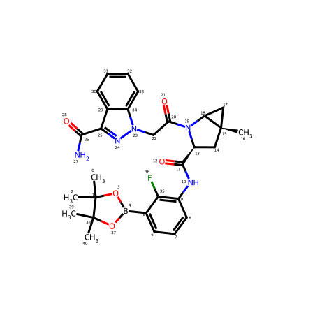 CC1(C)OB(c2cccc(NC(=O)[C@@H]3C[C@@]4(C)CC4N3C(=O)Cn3nc(C(N)=O)c4ccccc43)c2F)OC1(C)C